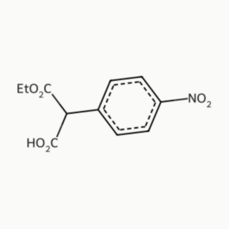 CCOC(=O)C(C(=O)O)c1ccc([N+](=O)[O-])cc1